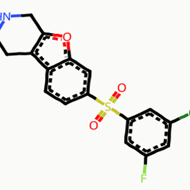 O=S(=O)(c1cc(F)cc(Cl)c1)c1ccc2c3c(oc2c1)CNCC3